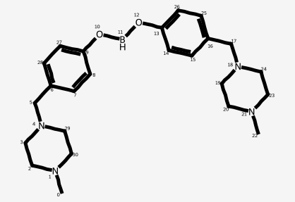 CN1CCN(Cc2ccc(OBOc3ccc(CN4CCN(C)CC4)cc3)cc2)CC1